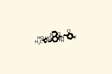 CC1(O)CN(C[C@]2(O)CC[C@@](F)(C(=O)NCc3ccc(F)cc3Cl)c3cccnc32)C1